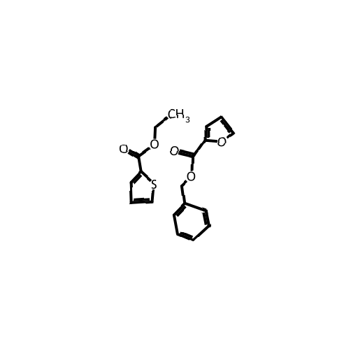 CCOC(=O)c1cccs1.O=C(OCc1ccccc1)c1ccco1